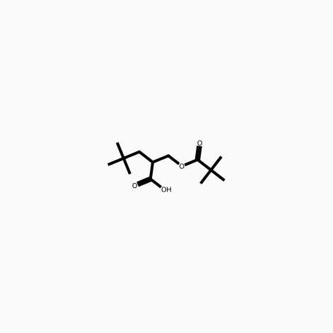 CC(C)(C)CC(COC(=O)C(C)(C)C)C(=O)O